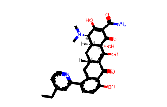 CCc1ccnc(-c2ccc(O)c3c2C[C@@H]2C[C@H]4[C@H](N(C)C)C(O)=C(C(N)=O)C(=O)[C@@]4(O)C(O)=C2C3=O)c1